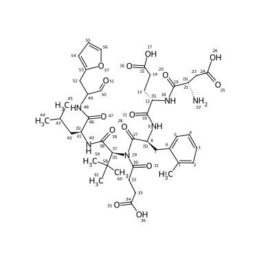 Cc1ccccc1C[C@H](NC(=O)[C@H](CCC(=O)O)NC(=O)[C@@H](N)CC(=O)O)C(=O)N(C(=O)CCC(=O)O)[C@H](C(=O)N[C@@H](CC(C)C)C(=O)NC(C=O)Cc1ccco1)C(C)(C)C